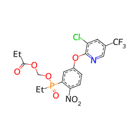 CCC(=O)OCOP(=O)(CC)c1cc(Oc2ncc(C(F)(F)F)cc2Cl)ccc1[N+](=O)[O-]